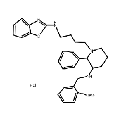 COc1ccccc1CNC1CCCN(CCCCNc2nc3ccccc3o2)C1c1ccccc1.Cl